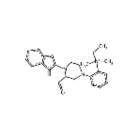 CC[N+](C)(C)c1cccnc1N1CCN(c2cc3ccccc3[nH]2)C(C=O)C1